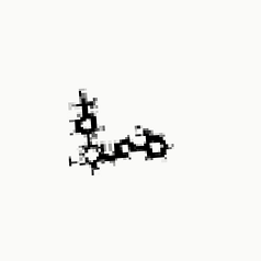 O=C(O)C(=Cc1ccc(-c2ccccc2Cl)s1)NC(=O)c1ccc(C(F)(F)F)cc1